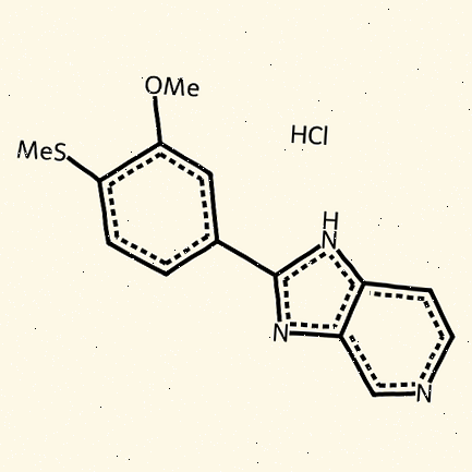 COc1cc(-c2nc3cnccc3[nH]2)ccc1SC.Cl